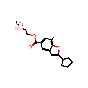 CBCCOC(=O)c1cc(I)c2oc(C3CCCC3)cc2c1